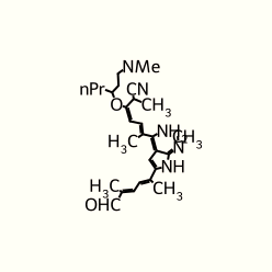 CCCC(CCNC)O/C(=C/C=C(C)/C(N)=C1C=C(/C(C)=C/C=C(\C)C=O)NC\1=N\C)C(C)C#N